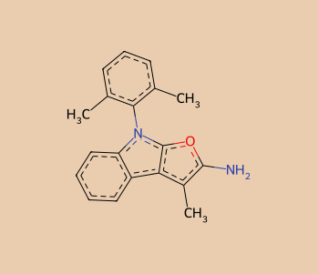 Cc1cccc(C)c1-n1c2ccccc2c2c(C)c(N)oc21